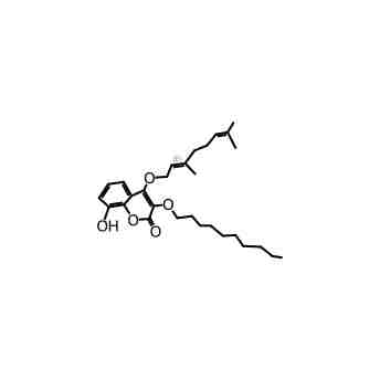 CCCCCCCCCCOc1c(OC/C=C(\C)CCC=C(C)C)c2cccc(O)c2oc1=O